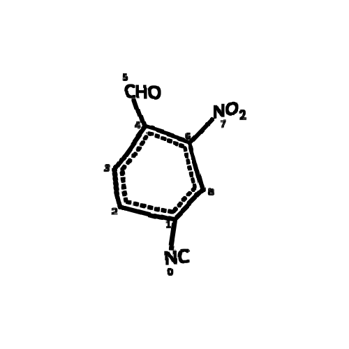 [C-]#[N+]c1ccc(C=O)c([N+](=O)[O-])c1